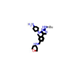 CCCCNc1ncc2c(n1)N(C1CCC(N)CC1)Cc1cc(CNC3CCOCC3)ccc1-2